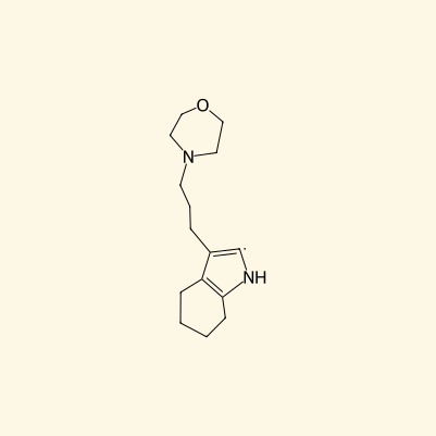 [c]1[nH]c2c(c1CCCN1CCOCC1)CCCC2